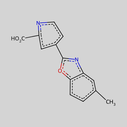 Cc1ccc2oc(-c3ccnc(C(=O)O)c3)nc2c1